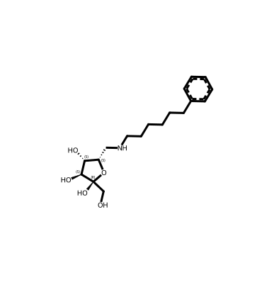 OC[C@@]1(O)O[C@@H](CNCCCCCCc2ccccc2)[C@@H](O)[C@@H]1O